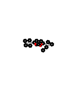 c1ccc(-c2cccc(N(c3ccc4c5c(ccc4c3)-c3ccc4cc(N(c6cccc(-c7ccccc7)c6)c6cccc7c6oc6ccccc67)ccc4c3C53c4ccccc4-c4ccccc43)c3cccc4c3oc3ccccc34)c2)cc1